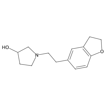 OC1CCN(CCc2ccc3c(c2)CCO3)C1